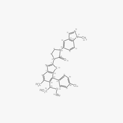 Cc1cc2nc(N3CCN(c4ccc5c(cnn5C)c4)C3=O)sc2c(-c2ccc(Cl)cc2)c1C(OC(C)(C)C)C(=O)O